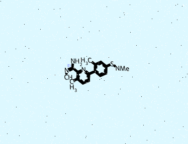 C/N=C(/N)c1nc(-c2ccc(SNC)cc2C)ccc1C